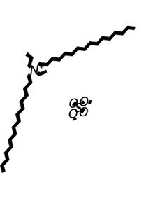 CCCCCCCCCCCCCCCC[N+](CC)(CCC)CCCCCCCCCCCCCCCC.COS(=O)(=O)OC